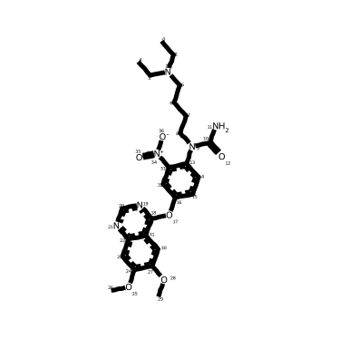 CCN(CC)CCCCN(C(N)=O)c1ccc(Oc2ncnc3cc(OC)c(OC)cc23)cc1[N+](=O)[O-]